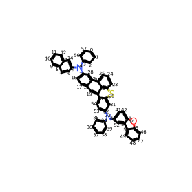 c1ccc(N(c2ccc3ccccc3c2)c2ccc3cc4c5c(cccc5c3c2)Sc2cc(N(c3ccccc3)c3ccc5oc6ccccc6c5c3)ccc2-4)cc1